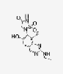 CCNc1ncc2cc(O)c(N3CC(=O)NS3(=O)=O)c(F)c2n1